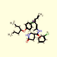 C=C/C=C(Cl)\C=C1/C[C@@]2(C(=O)N1)[C@@H](c1cc(I)ccc1OC(CCC)CCC)NC(=O)C[C@H]2C1C=CC=C(Cl)C1